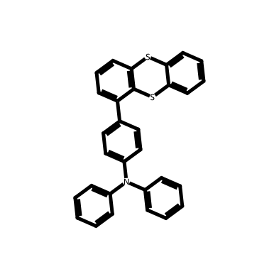 c1ccc(N(c2ccccc2)c2ccc(-c3cccc4c3Sc3ccccc3S4)cc2)cc1